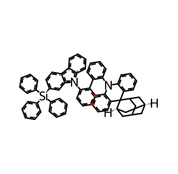 c1ccc([Si](c2ccccc2)(c2ccccc2)c2ccc3c4ccccc4n(-c4ccccc4-c4ccccc4N4c5ccccc5C5(c6ccccc64)C4CC6C[C@H](C4)C[C@H]5C6)c3c2)cc1